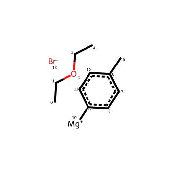 CCOCC.Cc1cc[c]([Mg+])cc1.[Br-]